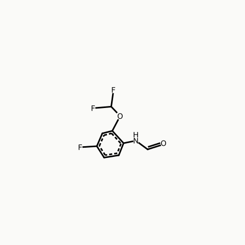 O=CNc1ccc(F)cc1OC(F)F